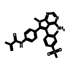 C=C(C)C(=O)Nc1ccc(-c2c(-c3ccc(S(C)(=O)=O)cc3C)c3c(N)ncnc3n2C)cc1